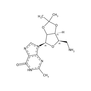 Cc1nc2c(ncn2[C@@H]2O[C@H](CN)[C@@H]3OC(C)(C)OC32)c(=O)[nH]1